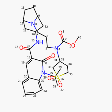 COC(=O)N(CCCN1C2CCC1CC(NC(=O)c1cc3ccccc3n(C(C)C)c1=O)C2)C1CCS(=O)(=O)C1